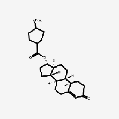 CCCCCC1CCC(C(=O)O[C@H]2CC[C@H]3[C@@H]4CCC5=CC(=O)CC[C@]5(C)[C@H]4CC[C@]23C)CC1